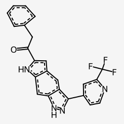 O=C(Cc1ccccc1)c1cc2cc3c(-c4ccnc(C(F)(F)F)c4)n[nH]c3cc2[nH]1